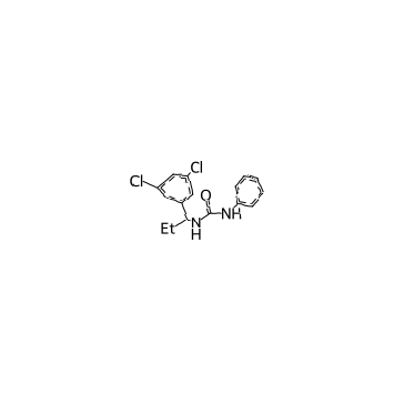 CCC(NC(=O)Nc1ccccc1)c1cc(Cl)cc(Cl)c1